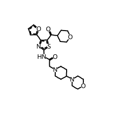 O=C(CN1CCC(N2CCOCC2)CC1)Nc1nc(-c2ccco2)c(C(=O)C2CCOCC2)s1